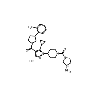 Cl.N[C@H]1CCN(C(=O)N2CCC(n3ncc(C(=O)N4CCC(c5ccccc5C(F)(F)F)C4)c3C3CC3)CC2)C1